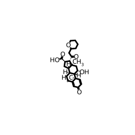 C[C@]12C[C@H](O)[C@H]3[C@@H](CCC4=CC(=O)C=C[C@@]43C)[C@@H]1C[C@@H](C(=O)O)[C@@H]2C(=O)CC1CCCCO1